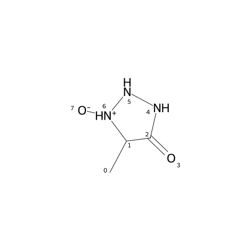 CC1C(=O)NN[NH+]1[O-]